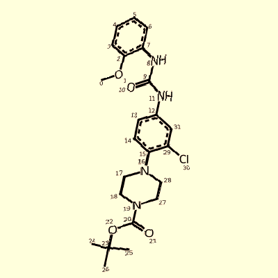 COc1ccccc1NC(=O)Nc1ccc(N2CCN(C(=O)OC(C)(C)C)CC2)c(Cl)c1